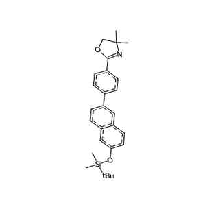 CC1(C)COC(c2ccc(-c3ccc4cc(O[Si](C)(C)C(C)(C)C)ccc4c3)cc2)=N1